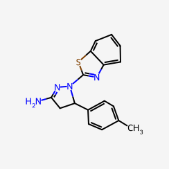 Cc1ccc(C2CC(N)=NN2c2nc3ccccc3s2)cc1